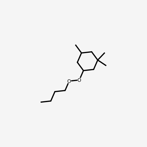 CCCCOOC1CC(C)CC(C)(C)C1